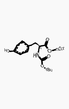 CCCCCCCCOC(=O)[C@H](Cc1ccc(O)cc1)NC(=O)OC(C)(C)C